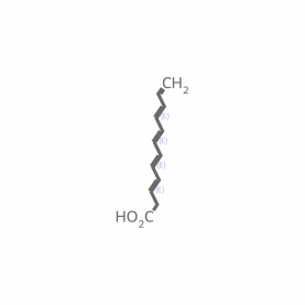 C=C/C=C/C=C/C=C/C=C/CC(=O)O